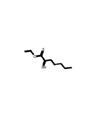 CCCCCC(=N)C(=S)OCC